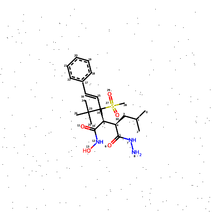 CC(C)C[C@@H](C(=O)NN)[C@@H](C(=O)NO)C(/C=C/c1ccccc1)(C(C)(C)C)S(C)(=O)=O